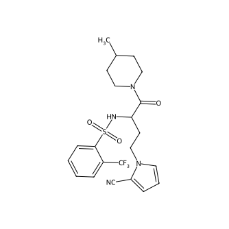 CC1CCN(C(=O)C(CCn2cccc2C#N)NS(=O)(=O)c2ccccc2C(F)(F)F)CC1